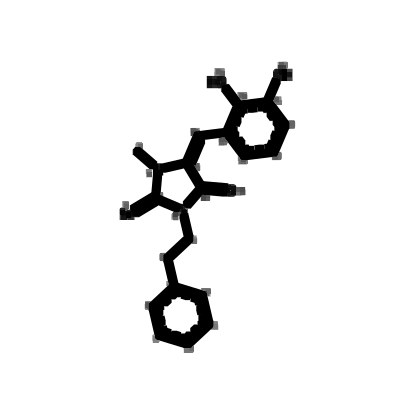 CN1C(=[Se])N(CCc2ccccc2)C(=O)C1=Cc1cccc(O)c1O